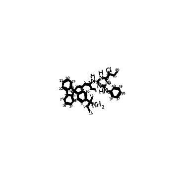 CC/C(=C\C=C\C1(c2ccc(C(C)(N)CC)cc2)c2ccccc2-c2ccccc21)N[C@H]1N=C(Nc2ccccc2)N=C(C(Cl)CC)N1